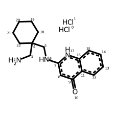 Cl.Cl.NCC1(CNc2cc(=O)c3ccccc3[nH]2)CCCCC1